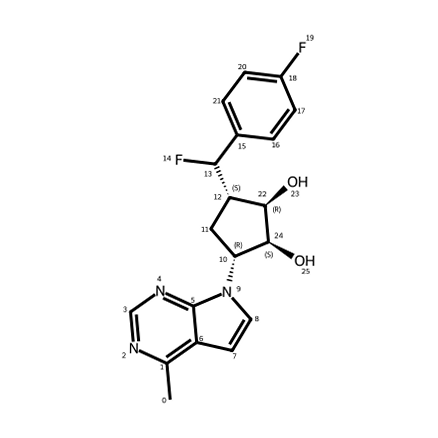 Cc1ncnc2c1ccn2[C@@H]1C[C@H](C(F)c2ccc(F)cc2)[C@@H](O)[C@H]1O